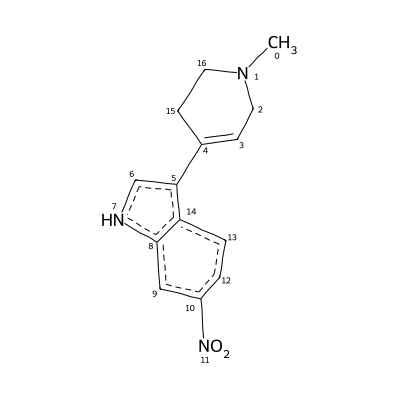 CN1CC=C(c2c[nH]c3cc([N+](=O)[O-])ccc23)CC1